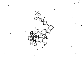 COc1cc(C(=O)N2C[C@H]3CC[C@@H]2[C@@H]3NC(=O)OC(C)(C)C)cc2nc(-c3cc4cccc(C5CC6(C5)CN(C(=O)OC(C)(C)C)C6)c4n3CC3CC3)n(C)c12